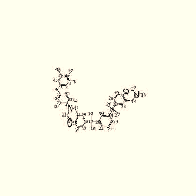 Cc1cc(Cc2cc(C)c(N3COc4ccc(C(C)(C)c5cccc(C(C)(C)c6ccc7c(c6)CN(C)CO7)c5)cc4C3)c(C)c2)cc(C)c1C